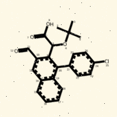 CC(C)(C)OC(C(=O)O)c1c(C=O)cc2ccccc2c1-c1ccc(Cl)cc1